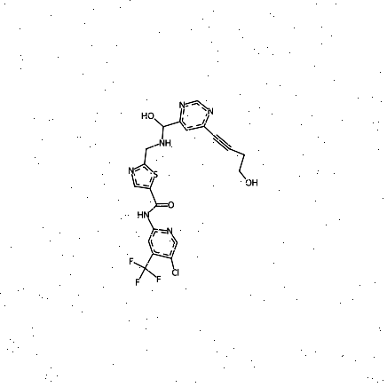 O=C(Nc1cc(C(F)(F)F)c(Cl)cn1)c1cnc(CNC(O)c2cc(C#CCCO)ncn2)s1